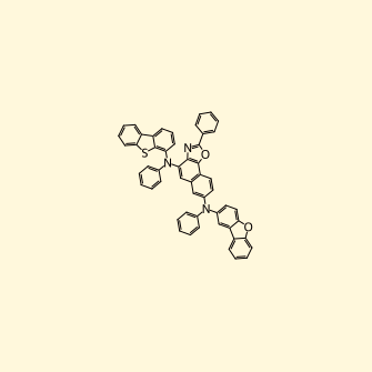 c1ccc(-c2nc3c(N(c4ccccc4)c4cccc5c4sc4ccccc45)cc4cc(N(c5ccccc5)c5ccc6oc7ccccc7c6c5)ccc4c3o2)cc1